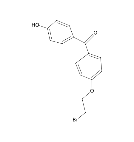 O=C(c1ccc(O)cc1)c1ccc(OCCBr)cc1